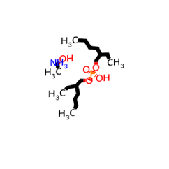 CCCCC(CC)COP(=O)(O)OCC(CC)CCCC.CCO.N